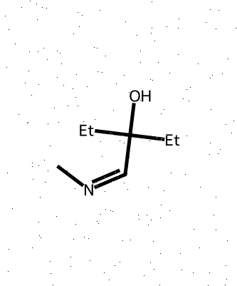 CCC(O)(/C=N\C)CC